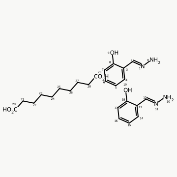 NN=Cc1ccccc1O.NN=Cc1ccccc1O.O=C(O)CCCCCCCCC(=O)O